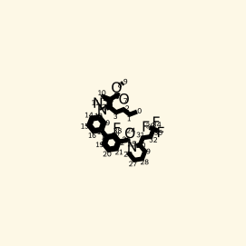 CCCCc1c(C(=O)OC)cnn1-c1cccc(-c2cccc(C(=O)N3CCCCC3CCC(F)(F)F)c2F)c1